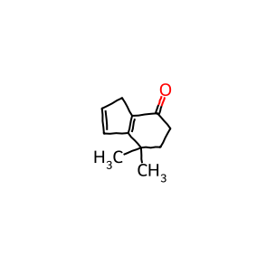 CC1(C)CCC(=O)C2=C1C=CC2